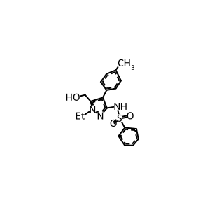 CCn1nc(NS(=O)(=O)c2ccccc2)c(-c2ccc(C)cc2)c1CO